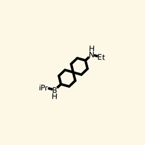 CCNC1CCC2(CCC(BC(C)C)CC2)CC1